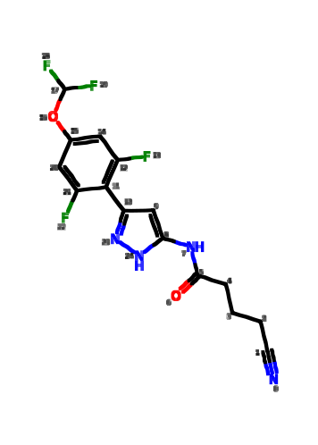 N#CCCCC(=O)Nc1cc(-c2c(F)cc(OC(F)F)cc2F)n[nH]1